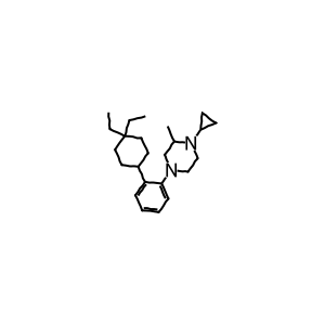 CCC1(CC)CCC(c2ccccc2N2CCN(C3CC3)C(C)C2)CC1